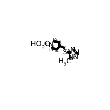 Cn1nnnc1SCC1CCN(C(=O)O)CC1